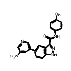 Nc1cncc(-c2ccc3[nH]nc(C(=O)Nc4ccc(O)cc4)c3c2)c1